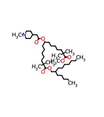 CCCCCCCC(CCCCC)COC(=O)C(C)(C)CCCCCC(CCCCCC(C)(C)C(=O)OC)OC(=O)CC1CCN(C)CC1